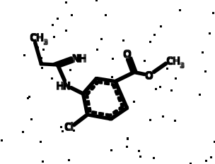 CCC(=N)Nc1cc(C(=O)OC)ccc1Cl